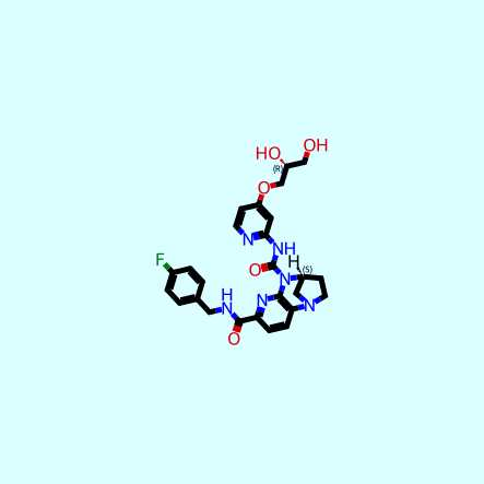 O=C(NCc1ccc(F)cc1)c1ccc2c(n1)N(C(=O)Nc1cc(OC[C@H](O)CO)ccn1)[C@H]1CCN2C1